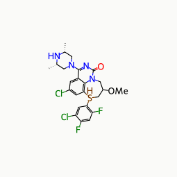 COC1Cn2c(=O)nc(N3C[C@@H](C)N[C@@H](C)C3)c3cc(Cl)cc(c32)[SH](c2cc(Cl)c(F)cc2F)C1